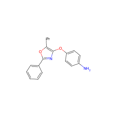 CC(C)c1oc(-c2ccccc2)nc1Oc1ccc(N)cc1